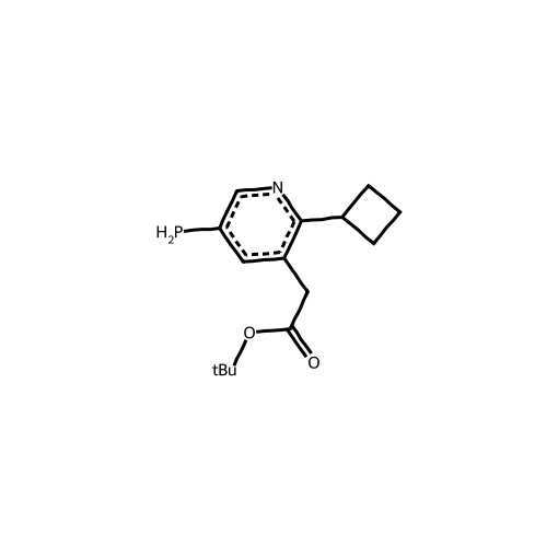 CC(C)(C)OC(=O)Cc1cc(P)cnc1C1CCC1